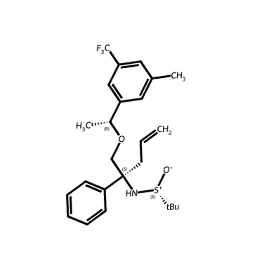 C=CC[C@](CO[C@H](C)c1cc(C)cc(C(F)(F)F)c1)(N[S@+]([O-])C(C)(C)C)c1ccccc1